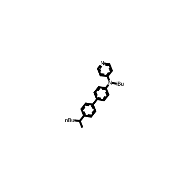 CCCCC(C)c1ccc(-c2ccc(N(c3ccncc3)C(C)CC)cc2)cc1